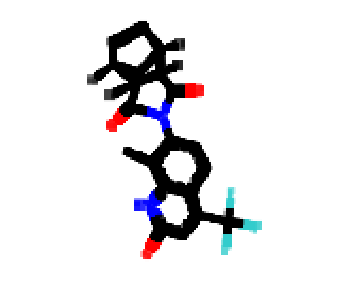 Cc1c(N2C(=O)[C@@H]3[C@H](C2=O)[C@@H]2C=C[C@H]3C2)ccc2c(C(F)(F)F)cc(=O)[nH]c12